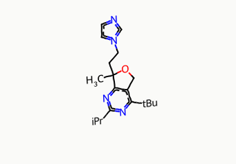 CC(C)c1nc(C(C)(C)C)c2c(n1)C(C)(CCn1ccnc1)OC2